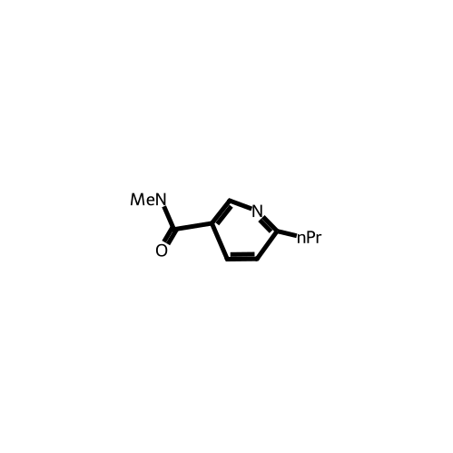 CCCc1ccc(C(=O)NC)cn1